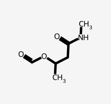 CNC(=O)CC(C)OC=O